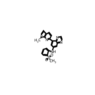 Cn1ccc2ccc(-c3cc(Nc4ccccc4S(C)(=O)=O)cc4nccnc34)nc21